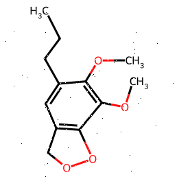 CCCc1cc2c(c(OC)c1OC)OOC2